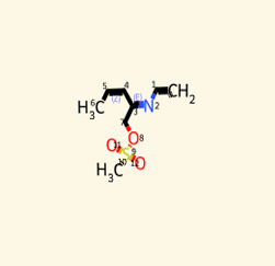 C=C/N=C(\C=C/C)COS(C)(=O)=O